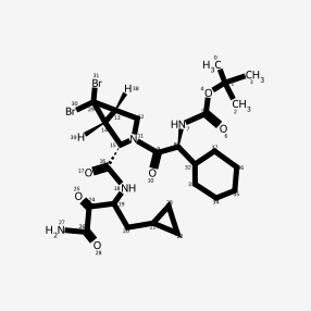 CC(C)(C)OC(=O)N[C@H](C(=O)N1C[C@@H]2[C@H]([C@H]1C(=O)NC(CC1CC1)C(=O)C(N)=O)C2(Br)Br)C1CCCCC1